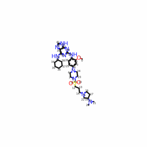 COc1cc(N2CCN(S(=O)(=O)CCCN3CCC(N(C)C)C3)CC2)ccc1Nc1nc(NC2CCCCC2)c2nc[nH]c2n1